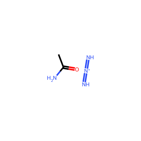 CC(N)=O.N=[N+]=N